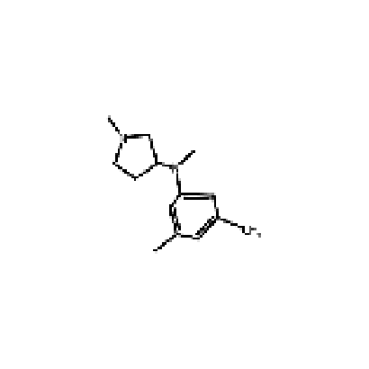 Cc1cc(N(C)C2CCN(C)C2)cc(C(F)(F)F)c1